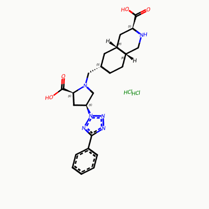 Cl.Cl.O=C(O)[C@@H]1C[C@H]2C[C@@H](CN3C[C@@H](n4nnc(-c5ccccc5)n4)C[C@H]3C(=O)O)CC[C@H]2CN1